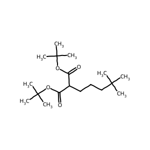 CC(C)(C)CCCC(C(=O)OC(C)(C)C)C(=O)OC(C)(C)C